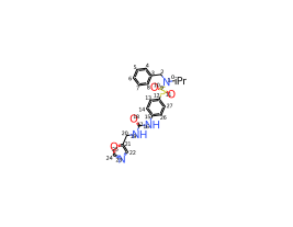 CC(C)N(Cc1ccccc1)S(=O)(=O)c1ccc(NC(=O)NCc2cnco2)cc1